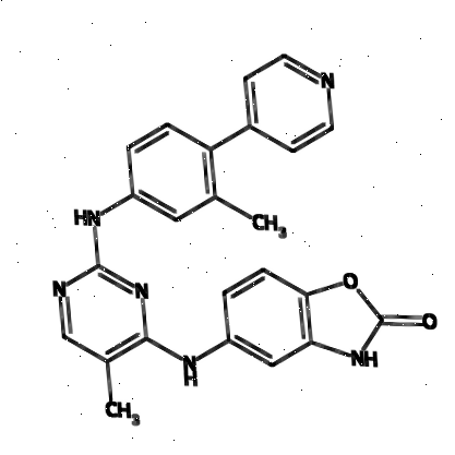 Cc1cc(Nc2ncc(C)c(Nc3ccc4oc(=O)[nH]c4c3)n2)ccc1-c1ccncc1